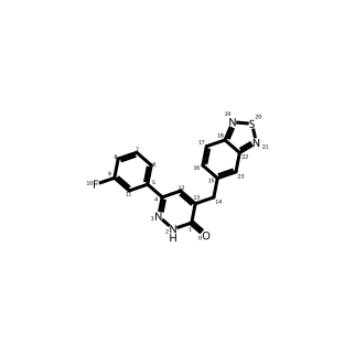 O=c1[nH]nc(-c2cccc(F)c2)cc1Cc1ccc2nsnc2c1